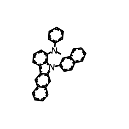 CN(c1ccccc1)c1cccc2c3cc4ccccc4cc3n(-c3ccc4ccccc4c3)c12